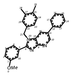 COc1cccc(-c2nc3ncc(-c4ccccc4)cc3n2Cc2ccc(C)c(C)c2)c1